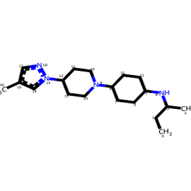 CCC(C)NC1CCC(N2CCC(n3cc(C)cn3)CC2)CC1